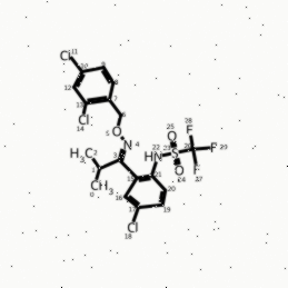 CC(C)/C(=N\OCc1ccc(Cl)cc1Cl)c1cc(Cl)ccc1NS(=O)(=O)C(F)(F)F